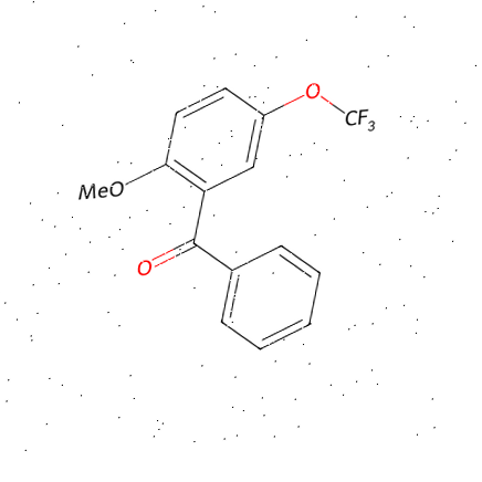 COc1ccc(OC(F)(F)F)cc1C(=O)c1ccccc1